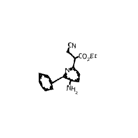 CCOC(=O)C(CC#N)c1ccc(N)c(-c2ccccc2)n1